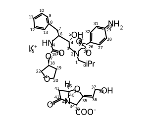 CC(C)CN(C[C@@H](O)[C@H](Cc1ccccc1)NC(=O)O[C@H]1CCOC1)S(=O)(=O)c1ccc(N)cc1.O=C([O-])[C@H]1/C(=C/CO)O[C@@H]2CC(=O)N21.[K+]